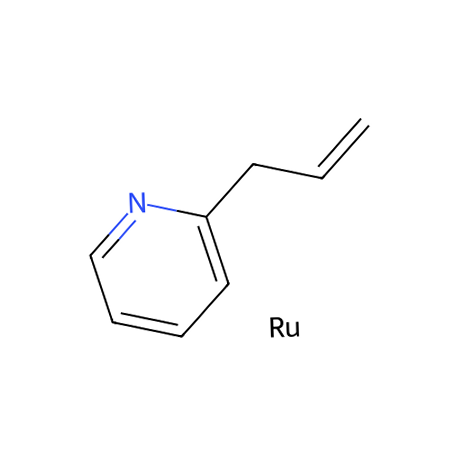 C=CCc1ccccn1.[Ru]